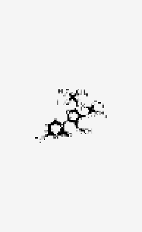 COC1C(OC(C)(C)C)[C@@H](CC(C)(C)C)O[C@H]1n1ccc(N)nc1=O